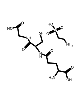 NC(CCC(=O)NC(CS)C(=O)NCC(=O)O)C(=O)O.NCCS(=O)(=O)O